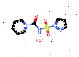 O=C(NS(=O)(=O)n1cccn1)[n+]1ccccc1.[OH-]